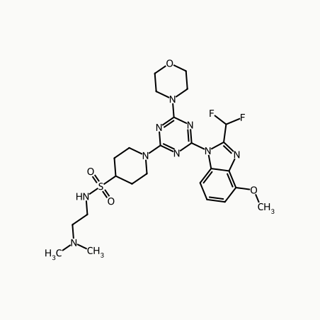 COc1cccc2c1nc(C(F)F)n2-c1nc(N2CCOCC2)nc(N2CCC(S(=O)(=O)NCCN(C)C)CC2)n1